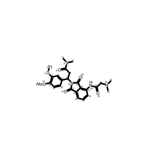 CCOc1cc(C(CC(=O)N(C)C)N2C(=O)c3cccc(NC(=O)CN(C)C)c3C2=O)ccc1OC